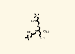 C[N+](C)(C)CC(O)COCC(CCO)OCC(O)C[N+](C)(C)C.[Cl-].[Cl-]